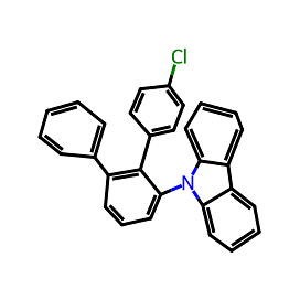 Clc1ccc(-c2c(-c3ccccc3)cccc2-n2c3ccccc3c3ccccc32)cc1